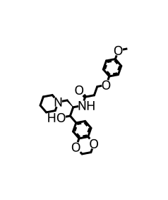 COc1ccc(OCCC(=O)N[C@H](CN2CCCCC2)C(O)c2ccc3c(c2)OCCO3)cc1